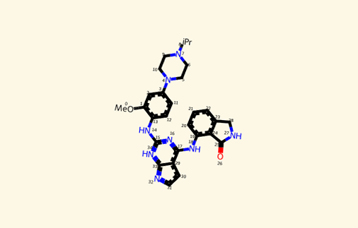 COc1cc(N2CCN(C(C)C)CC2)ccc1Nc1nc(Nc2cccc3c2C(=O)NC3)c2ccnc-2[nH]1